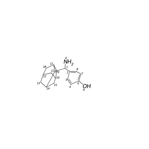 NC(c1ccc(O)cc1)C1C2CC3CC(C2)CC1C3